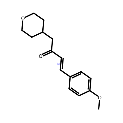 COc1ccc(/C=C/C(=O)CC2CCOCC2)cc1